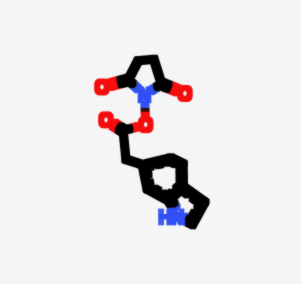 O=C(Cc1ccc2cc[nH]c2c1)ON1C(=O)CCC1=O